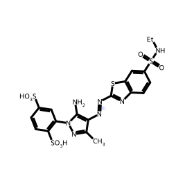 CCNS(=O)(=O)c1ccc2nc(/N=N/c3c(C)nn(-c4cc(S(=O)(=O)O)ccc4S(=O)(=O)O)c3N)sc2c1